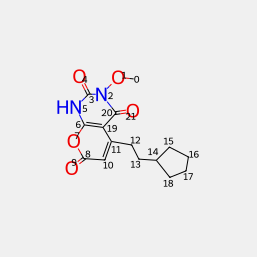 COn1c(=O)[nH]c2oc(=O)cc(CCC3CCCC3)c2c1=O